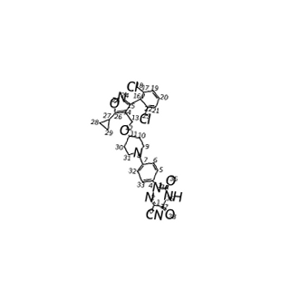 N#Cc1nn(-c2ccc(N3CCC(OCc4c(-c5c(Cl)cccc5Cl)noc4C4CC4)CC3)cc2)c(=O)[nH]c1=O